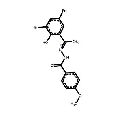 COc1ccc(C(=O)N/N=C(\C)c2cc(Br)cc(Br)c2O)cc1